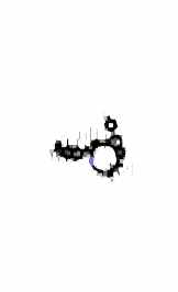 CCCc1cc(Cl)ccc1[C@@H]1COc2ccc3cc2N(C1)C[C@@H]1CC[C@H]1[C@](CN1CCN2CCN(S(C)(=O)=O)C[C@H]2C1)(OC)/C=C/C[C@H](C)[C@@H](C)S(=O)(=O)NC3=O